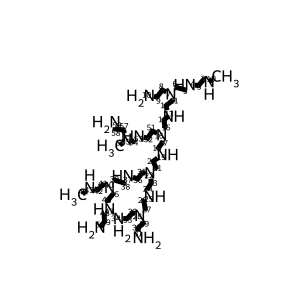 CNCCNCCN(CCN)CCNCCN(CCNCCN(CCNCCN(CCN)CCN)CCNCCN(CCNC)CCNCCN)CCNCN(C)CCN